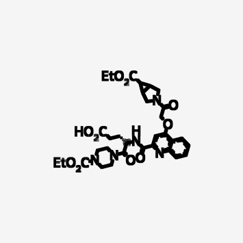 CCOC(=O)C1C2CN(C(=O)COc3cc(C(=O)N[C@@H](CCC(=O)O)C(=O)N4CCN(C(=O)OCC)CC4)nc4ccccc34)CC21